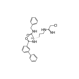 N=C(CCl)NCCC[C@H](NC(=O)c1cccc(-c2ccccc2)c1)C(=O)NCc1ccccc1